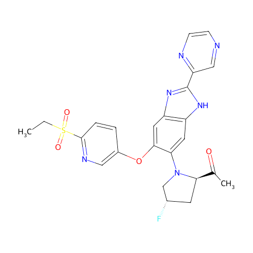 CCS(=O)(=O)c1ccc(Oc2cc3nc(-c4cnccn4)[nH]c3cc2N2C[C@@H](F)C[C@@H]2C(C)=O)cn1